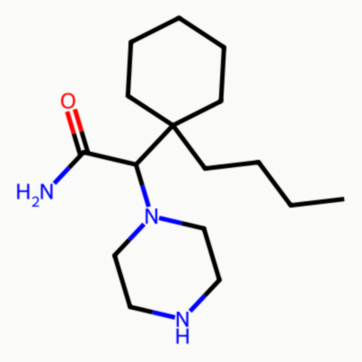 CCCCC1(C(C(N)=O)N2CCNCC2)CCCCC1